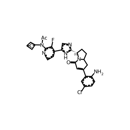 CC(=O)N(c1nccc(-c2cnc([C@@H]3CCC4CC(c5cc(Cl)ccc5N)=CC(=O)N43)[nH]2)c1F)C12CC(C1)C2